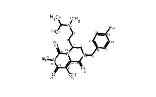 CC(O)N(C)CCC1CN(Cc2ccc(F)cc2)C(=O)c2c(O)c(=O)n(C(C)C)c(=O)n21